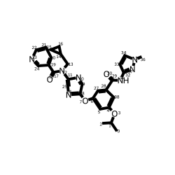 CC(C)Oc1cc(Oc2cnc(N(CC3CC3)C(=O)c3cccnc3)cn2)cc(C(=O)Nc2ccn(C)n2)c1